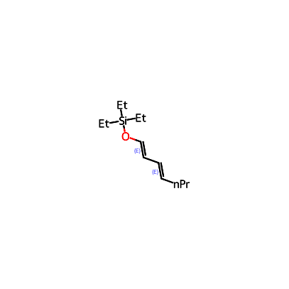 CCC/C=C/C=C/O[Si](CC)(CC)CC